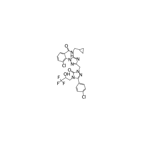 O=C(NCC1CC1)c1cccc(Cl)c1-n1cnc(Cn2nc(-c3ccc(Cl)cc3)n(CC(O)C(F)(F)F)c2=O)n1